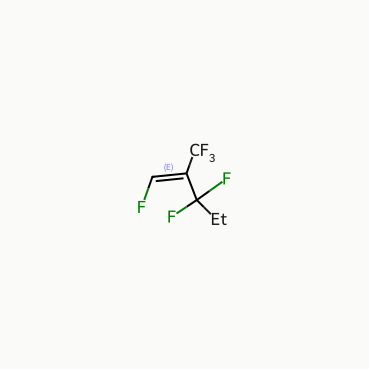 CCC(F)(F)/C(=C\F)C(F)(F)F